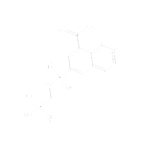 C=C(C)c1cc(C(CC)(CC)OCC(O)(C(F)(F)F)C(F)(F)F)cc2ccccc12